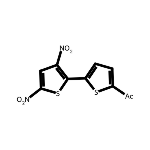 CC(=O)c1ccc(-c2sc([N+](=O)[O-])cc2[N+](=O)[O-])s1